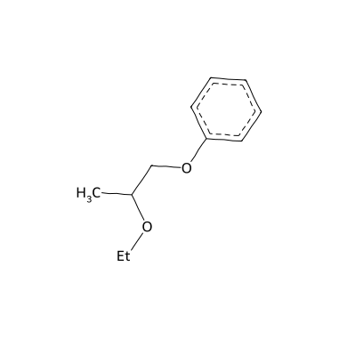 CCOC(C)COc1ccccc1